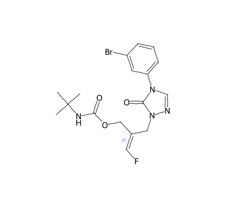 CC(C)(C)NC(=O)OC/C(=C/F)Cn1ncn(-c2cccc(Br)c2)c1=O